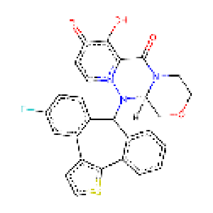 O=C1c2c(O)c(=O)ccn2N(C2c3ccc(F)cc3-c3ccsc3-c3ccccc32)[C@@H]2COCCN12